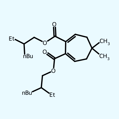 CCCCC(CC)COC(=O)C1=CCC(C)(C)CC=C1C(=O)OCC(CC)CCCC